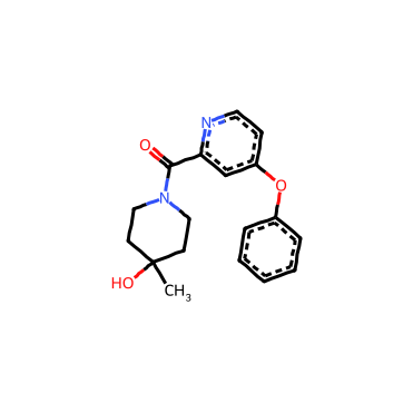 CC1(O)CCN(C(=O)c2cc(Oc3ccccc3)ccn2)CC1